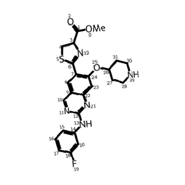 COC(=O)C1CSC(c2cc3cnc(Nc4cccc(F)c4)nc3cc2OC2CCNCC2)=N1